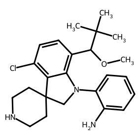 COC(c1ccc(Cl)c2c1N(c1ccccc1N)CC21CCNCC1)C(C)(C)C